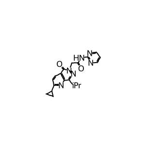 CC(C)c1nn(CC(=O)Nc2ncccn2)c(=O)c2ccc(C3CC3)nc12